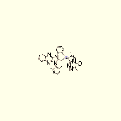 Cc1cccc(C)c1N1C(=C/C=c2/c(C)nn3c(=O)c(C)nnc23)N(c2c(C)cccc2C)c2nc3ccccc3nc21